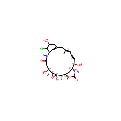 C/C1=C\C=C\[C@@H](O)[C@@]2(O)C[C@H](OC(=O)N2)[C@@H](C)[C@@H]2O[C@H]2[C@@H](O)CC(=O)N(C)C2C=C(C=C(O)C2Cl)C1